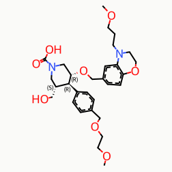 COCCCN1CCOc2ccc(CO[C@H]3CN(C(=O)O)C[C@@H](CO)[C@@H]3c3ccc(COCCOC)cc3)cc21